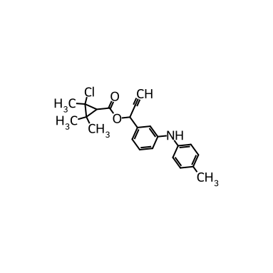 C#CC(OC(=O)C1C(C)(C)C1(C)Cl)c1cccc(Nc2ccc(C)cc2)c1